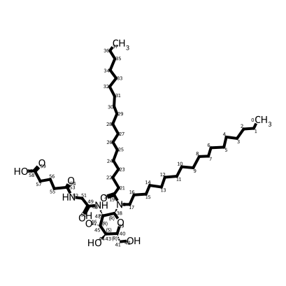 CCCCCCCCCCCCCCCCCCN(C(=O)CCCCCCCCCCCCCCCCC)[C@@H]1O[C@H](CO)[C@@H](O)[C@H](O)[C@@H]1NC(=O)CNC(=O)CCCC(=O)O